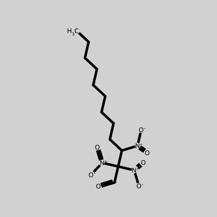 CCCCCCCCCC([N+](=O)[O-])C([C]=O)([N+](=O)[O-])[N+](=O)[O-]